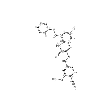 COc1cc(NCc2cc3cc(Cl)cc(OCc4ccccn4)c3[nH]c2=O)ccc1C#N